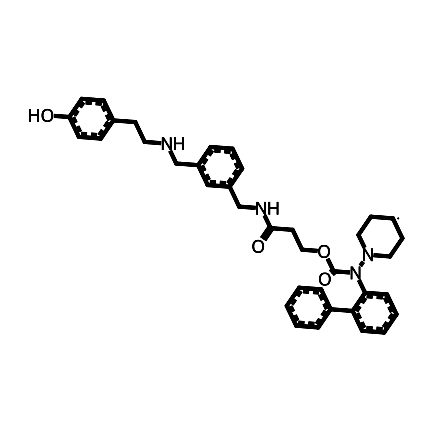 O=C(CCOC(=O)N(c1ccccc1-c1ccccc1)N1CC[CH]CC1)NCc1cccc(CNCCc2ccc(O)cc2)c1